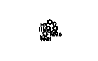 CNC(=O)c1cc(Oc2cccc(NC(=O)Nc3ccc4[nH]nnc4c3)c2)ccn1